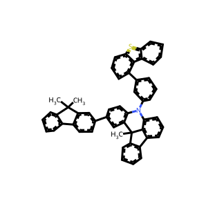 CC1(C)c2ccccc2-c2ccc(-c3ccc4c(c3)C3(C)c5ccccc5-c5cccc(c53)N4c3cccc(-c4cccc5sc6ccccc6c45)c3)cc21